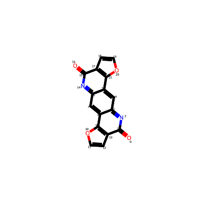 O=C1N=c2cc3c(cc2-c2occc21)=NC(=O)c1ccoc1-3